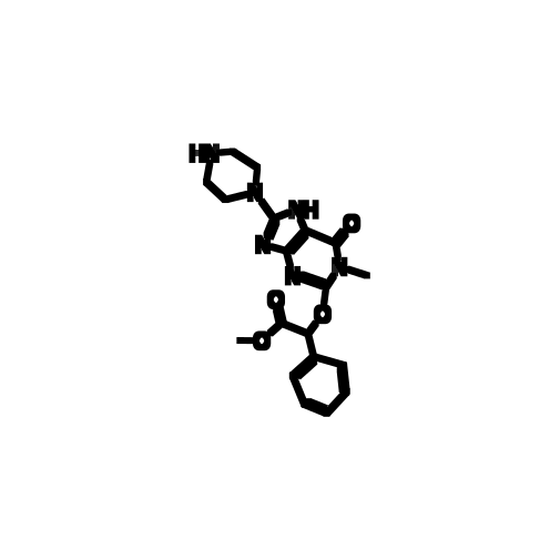 COC(=O)C(Oc1nc2nc(N3CCNCC3)[nH]c2c(=O)n1C)c1ccccc1